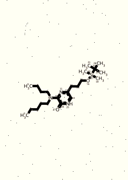 CCCCCN(CCCC)c1nc(CCCO[Si](C)(C)C(C)(C)C)c[nH]c1=O